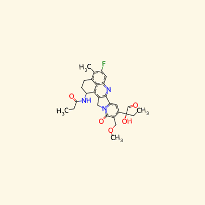 CCC(=O)NC1CCc2c(C)c(F)cc3nc4c(c1c23)Cn1c-4cc([C@](O)(C=O)CC)c(COC)c1=O